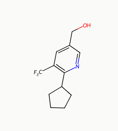 OCc1cnc(C2CCCC2)c(C(F)(F)F)c1